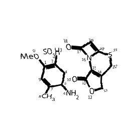 COC1=C(S(=O)(=O)O)CC(N)C(C)=C1.O=C1OCC2=C1N1C(=O)C=C1SC2